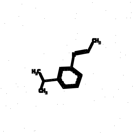 C/C=N/c1cccc(C(C)C)c1